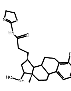 C[C@]12CCC3c4cccc(F)c4CCC3C1[C@H](CCC(=O)NC1=NCCS1)CC2NO